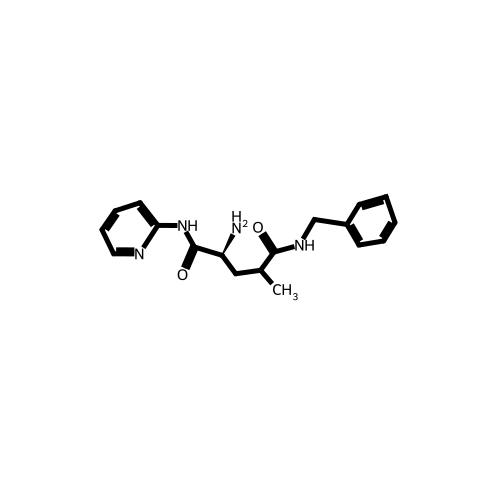 CC(C[C@H](N)C(=O)Nc1ccccn1)C(=O)NCc1ccccc1